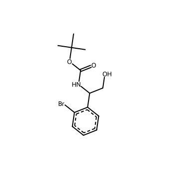 CC(C)(C)OC(=O)NC(CO)c1ccccc1Br